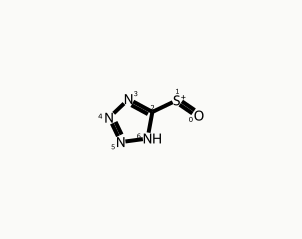 O=[S+]c1nnn[nH]1